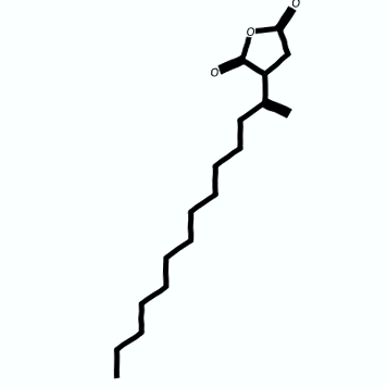 C=C(CCCCCCCCCCCC)C1CC(=O)OC1=O